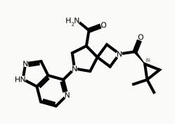 CC1(C)C[C@@H]1C(=O)N1CC2(C1)CN(c1nccc3[nH]ncc13)CC2C(N)=O